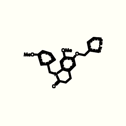 COc1cccc(CN2C(=O)CCc3cc(OCc4ccccc4)c(OC)cc32)c1